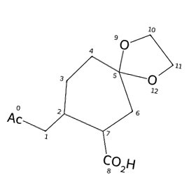 CC(=O)CC1CCC2(CC1C(=O)O)OCCO2